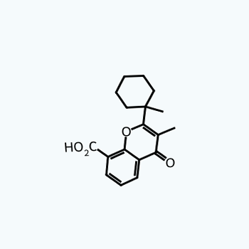 Cc1c(C2(C)CCCCC2)oc2c(C(=O)O)cccc2c1=O